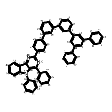 c1ccc(-c2cc(-c3ccccc3)cc(-c3cccc(-c4cccc(-c5ccc(-c6nc(-c7ccccc7)c7c(n6)c6ccccc6n7-c6ccccc6)cc5)c4)c3)c2)cc1